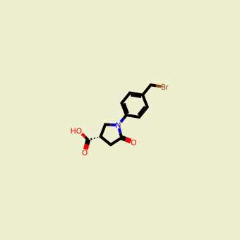 O=C(O)[C@H]1CC(=O)N(c2ccc(CBr)cc2)C1